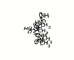 C[C@@H](NC(=O)[C@H]1CCCN1)[C@H]1C(=O)N2C(C(=O)O)=C(S[C@@H]3CN[C@H](C(=O)N(C)C)C3)[C@H](C)[C@H]12